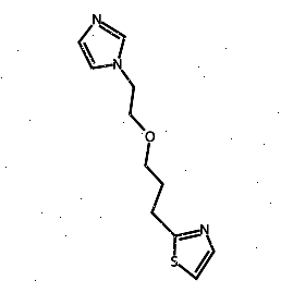 c1cn(CCOCCCc2nccs2)cn1